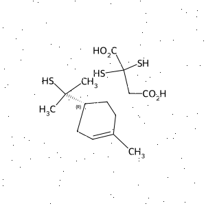 CC1=CC[C@H](C(C)(C)S)CC1.O=C(O)CC(S)(S)C(=O)O